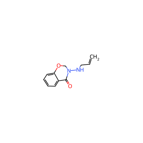 C=CCNN1COc2ccccc2C1=O